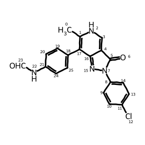 Cc1[nH]cc2c(=O)n(-c3ccc(Cl)cc3)nc-2c1-c1ccc(NC=O)cc1